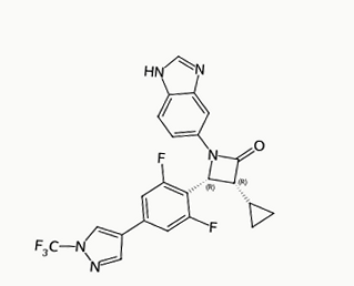 O=C1[C@H](C2CC2)[C@H](c2c(F)cc(-c3cnn(C(F)(F)F)c3)cc2F)N1c1ccc2[nH]cnc2c1